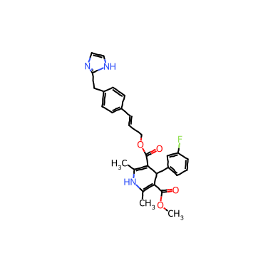 COC(=O)C1=C(C)NC(C)=C(C(=O)OCC=Cc2ccc(Cc3ncc[nH]3)cc2)C1c1cccc(F)c1